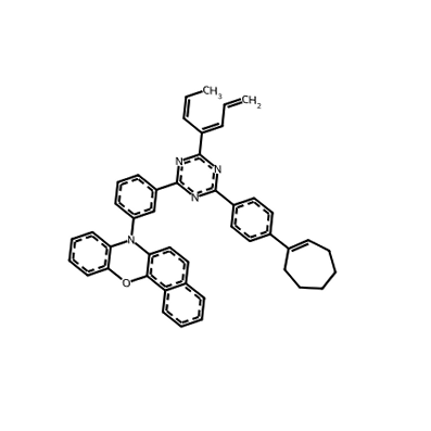 C=C/C=C(\C=C/C)c1nc(-c2ccc(C3=CCCCCC3)cc2)nc(-c2cccc(N3c4ccccc4Oc4c3ccc3ccccc43)c2)n1